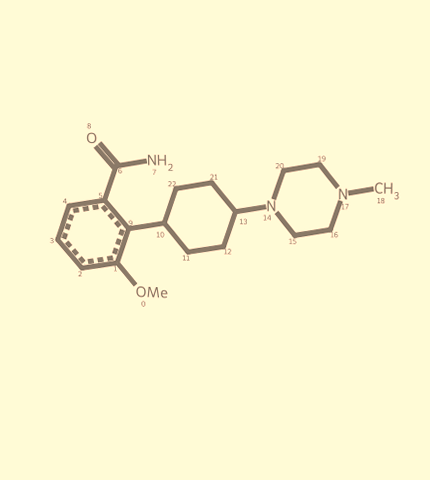 COc1cccc(C(N)=O)c1C1CCC(N2CCN(C)CC2)CC1